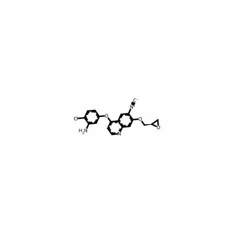 [C-]#[N+]c1cc2c(Oc3ccc(Cl)c(N)c3)ccnc2cc1OC[C@H]1CO1